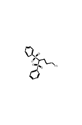 O=NCCCC(S(=O)(=O)c1ccccc1)S(=O)(=O)c1ccccc1